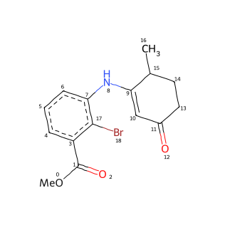 COC(=O)c1cccc(NC2=CC(=O)CCC2C)c1Br